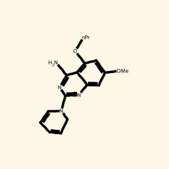 CCCOc1cc(OC)cc2nc(N3C=CC=CC3)nc(N)c12